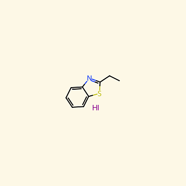 CCc1nc2ccccc2s1.I